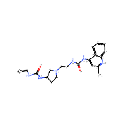 CCNC(=O)NC1CCN(CCNC(=O)Nc2cc(C)nc3ccccc23)C1